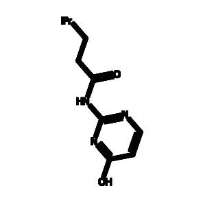 CC(C)CCC(=O)Nc1nccc(O)n1